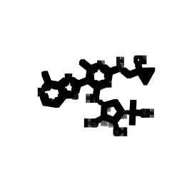 Cc1nc(NCC2(C#N)CC2)nc(N[C@@H]2C[C@H](C(C)(C)O)[C@@H](O)[C@H]2O)c1-c1nc2c(C)nccc2s1